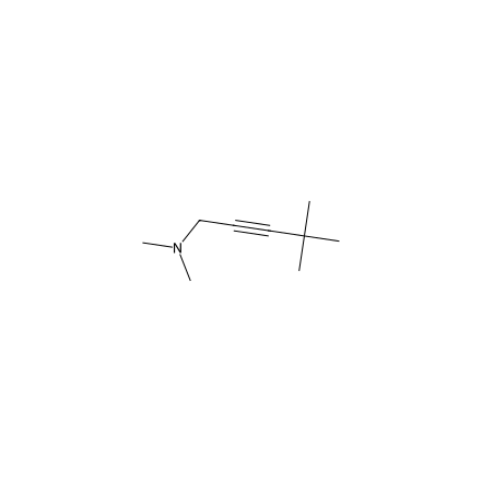 CN(C)CC#CC(C)(C)C